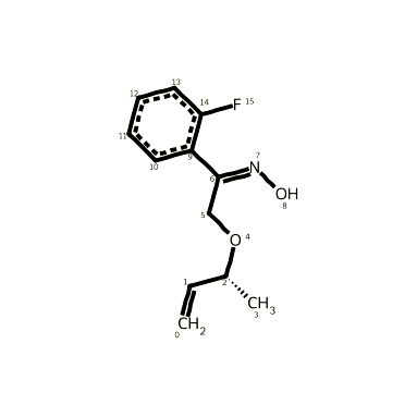 C=C[C@@H](C)OCC(=NO)c1ccccc1F